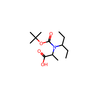 CCC(CC)N(C(=O)OC(C)(C)C)C(C)C(=O)O